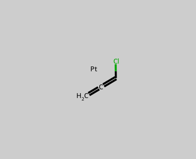 C=C=CCl.[Pt]